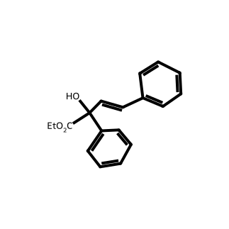 CCOC(=O)C(O)(/C=C/c1ccccc1)c1ccccc1